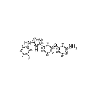 Cc1cccc(Nc2nnc(-c3cccc(Oc4ccnc(N)c4)c3)[nH]2)c1